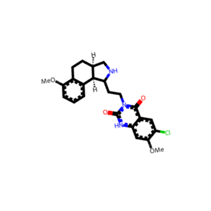 COc1cc2[nH]c(=O)n(CCC3NC[C@@H]4CCc5c(OC)cccc5[C@H]34)c(=O)c2cc1Cl